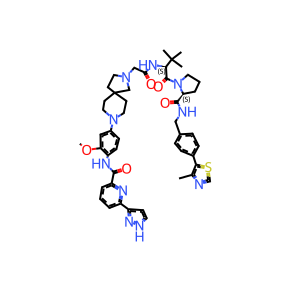 COc1cc(N2CCC3(CCN(CC(=O)N[C@H](C(=O)N4CCC[C@H]4C(=O)NCc4ccc(-c5scnc5C)cc4)C(C)(C)C)C3)CC2)ccc1NC(=O)c1cccc(-c2cc[nH]n2)n1